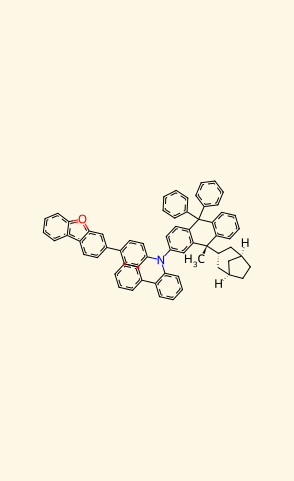 C[C@]1([C@H]2C[C@@H]3CC[C@@H](C3)C2)c2ccccc2C(c2ccccc2)(c2ccccc2)c2ccc(N(c3ccc(-c4ccc5c(c4)oc4ccccc45)cc3)c3ccccc3-c3ccccc3)cc21